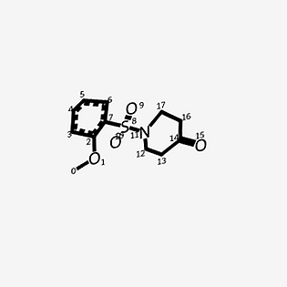 COc1ccccc1S(=O)(=O)N1CCC(=O)CC1